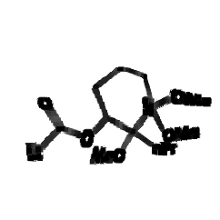 CCCC1(OC)C(OC(=O)CC)CCC[Si]1(OC)OC